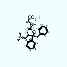 C[C@H](CN(C)C)[C@](Cc1ccccc1)(OC(=O)NCC(=O)O)c1ccccc1